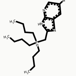 CCCC[PH](CCCC)(CCCC)Cc1nc2cc(Br)cnc2[nH]1